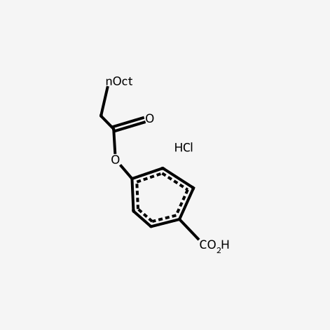 CCCCCCCCCC(=O)Oc1ccc(C(=O)O)cc1.Cl